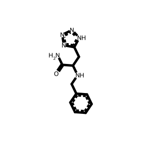 NC(=O)C(Cc1nnn[nH]1)NCc1ccccc1